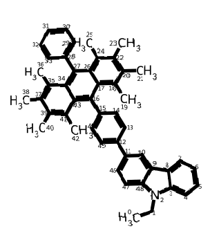 CCn1c2ccccc2c2cc(-c3ccc(-c4c5c(C)c(C)c(C)c(C)c5c(-c5ccccc5)c5c(C)c(C)c(C)c(C)c45)cc3)ccc21